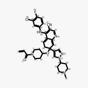 C=CC(=O)N1CCC(OC2(c3cnn(C4CCN(C)CC4)c3)C=c3ncc(C#N)c(Nc4ccc(F)c(Cl)c4)c3=CC2)CC1